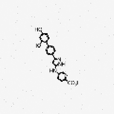 O=C(O)c1ccc(Nc2cc(-c3ccc(-c4ccc(O)cc4O)cc3)n[nH]2)cn1